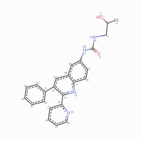 CCC(O)CNC(=O)Nc1ccc2nc(-c3ccccn3)c(-c3ccccc3)cc2c1